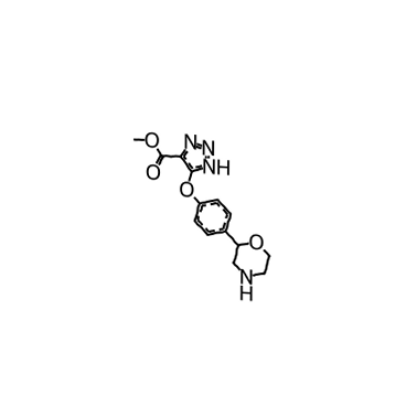 COC(=O)c1nn[nH]c1Oc1ccc(C2CNCCO2)cc1